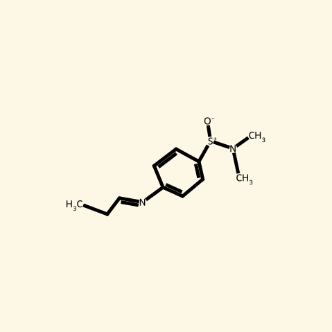 CC/C=N/c1ccc([S+]([O-])N(C)C)cc1